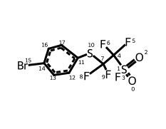 O=S(=O)(F)C(F)(F)C(F)(F)Sc1ccc(Br)cc1